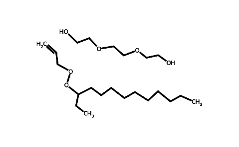 C=CCOOC(CC)CCCCCCCCCC.OCCOCCOCCO